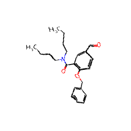 CCCCN(CCCC)C(=O)c1cc(C=O)ccc1OCc1ccccc1